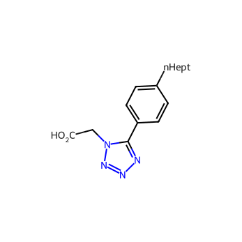 CCCCCCCc1ccc(-c2nnnn2CC(=O)O)cc1